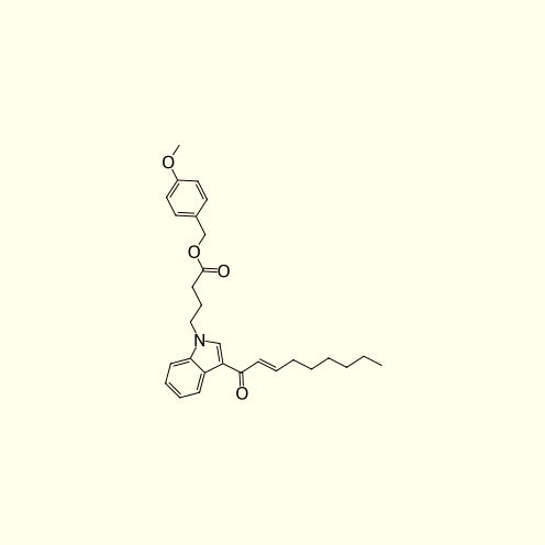 CCCCCC/C=C/C(=O)c1cn(CCCC(=O)OCc2ccc(OC)cc2)c2ccccc12